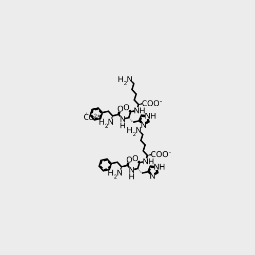 NCCCC[C@H](NC(=O)[C@H](Cc1c[nH]cn1)NC(=O)[C@@H](N)Cc1ccccc1)C(=O)[O-].NCCCC[C@H](NC(=O)[C@H](Cc1c[nH]cn1)NC(=O)[C@@H](N)Cc1ccccc1)C(=O)[O-].[Cu+2]